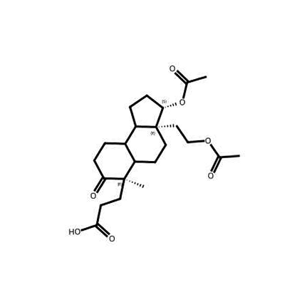 CC(=O)OCC[C@]12CCC3C(CCC(=O)[C@]3(C)CCC(=O)O)C1CC[C@@H]2OC(C)=O